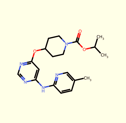 Cc1ccc(Nc2cc(OC3CCN(C(=O)OC(C)C)CC3)ncn2)nc1